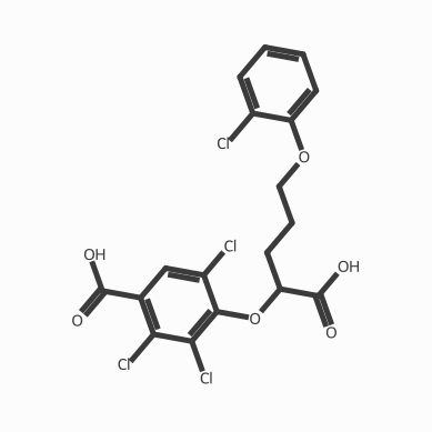 O=C(O)c1cc(Cl)c(OC(CCCOc2ccccc2Cl)C(=O)O)c(Cl)c1Cl